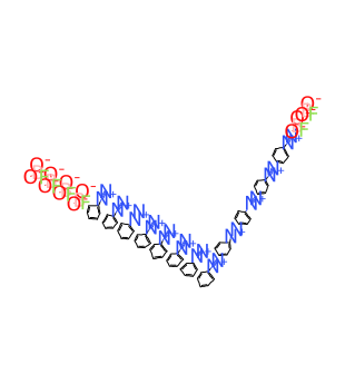 N#[N+]c1ccccc1.N#[N+]c1ccccc1.N#[N+]c1ccccc1.N#[N+]c1ccccc1.N#[N+]c1ccccc1.N#[N+]c1ccccc1.N#[N+]c1ccccc1.N#[N+]c1ccccc1.N#[N+]c1ccccc1.N#[N+]c1ccccc1.N#[N+]c1ccccc1.N#[N+]c1ccccc1.[O-]B([O-])F.[O-]B([O-])F.[O-]B([O-])F.[O-]B([O-])F.[O-]B([O-])F.[O-]B([O-])F